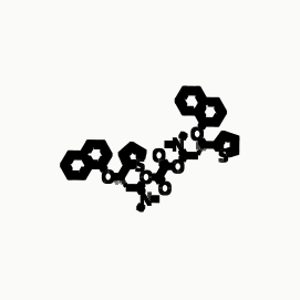 CN(C)C(C[C@H](Oc1cccc2ccccc12)c1cccs1)OC(=O)C(=O)OC(C[C@H](Oc1cccc2ccccc12)c1cccs1)N(C)C